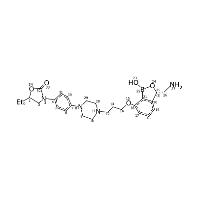 CCC1CN(c2ccc(N3CCN(CCCOc4cccc5c4B(O)O[C@@H]5CN)CC3)cc2)C(=O)O1